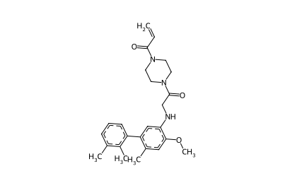 C=CC(=O)N1CCN(C(=O)CNc2cc(-c3cccc(C)c3C)c(C)cc2OC)CC1